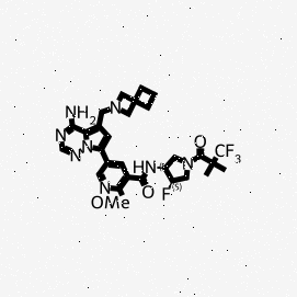 COc1ncc(-c2cc(CN3CC4(CCC4)C3)c3c(N)ncnn23)cc1C(=O)N[C@@H]1CN(C(=O)C(C)(C)C(F)(F)F)C[C@@H]1F